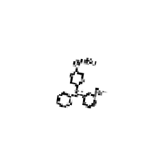 CCCCOc1ccc([S+](c2ccccc2)c2ccccc2)cc1.[Br-]